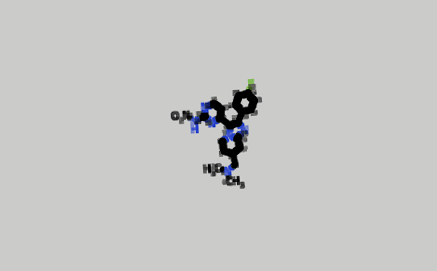 CN(C)Cc1ccn2c(-c3ccnc(N[N+](=O)[O-])n3)c(-c3ccc(F)cc3)nc2c1